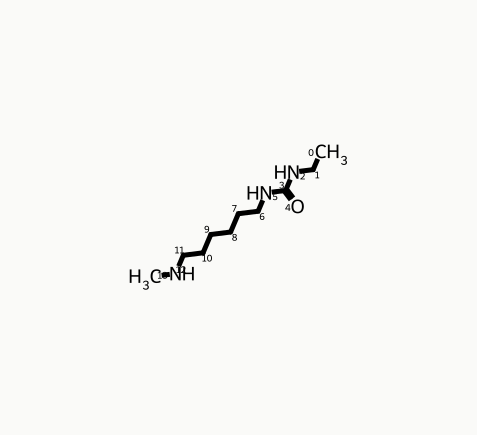 CCNC(=O)NCCCCCCNC